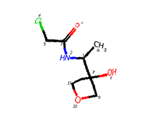 CC(NC(=O)CCl)C1(O)COC1